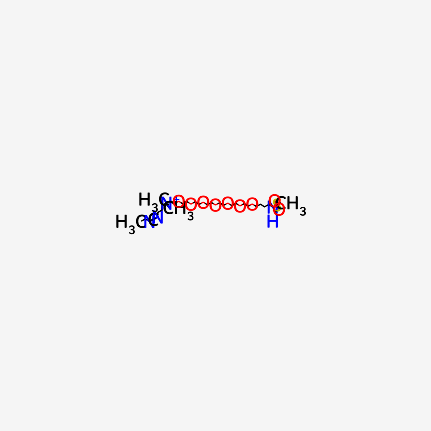 CCN=C=NCCC[N+](C)(C)CCOCCOCCOCCOCCOCCOCCOCCCCNS(C)(=O)=O